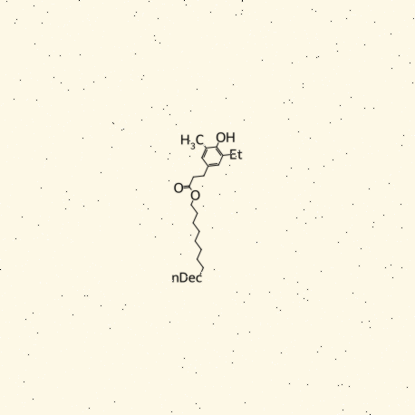 CCCCCCCCCCCCCCCCCCOC(=O)CCc1cc(C)c(O)c(CC)c1